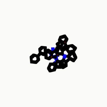 c1ccc(-c2cccc(-c3nc(-c4ccccc4)nc(-n4c5ccccc5c5ccc6c7ccccc7n(-c7c(-c8ccccc8)c(-c8ccccc8)cc8c9ccccc9n(-c9ccccc9)c78)c6c54)n3)c2)cc1